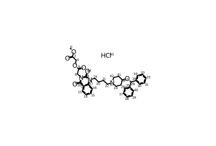 COC(=O)COC(=O)Cn1c(=O)c2ccccc2n(CCCCN2CCC(OC(c3ccccc3)c3ccccc3)CC2)c1=O.Cl